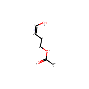 CC(C)C(=O)OCC/C=C\O